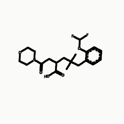 CC(C)(Cc1ccccc1OC(F)F)CC(CC(=O)N1CCOCC1)C(=O)O